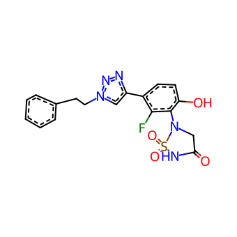 O=C1CN(c2c(O)ccc(-c3cn(CCc4ccccc4)nn3)c2F)S(=O)(=O)N1